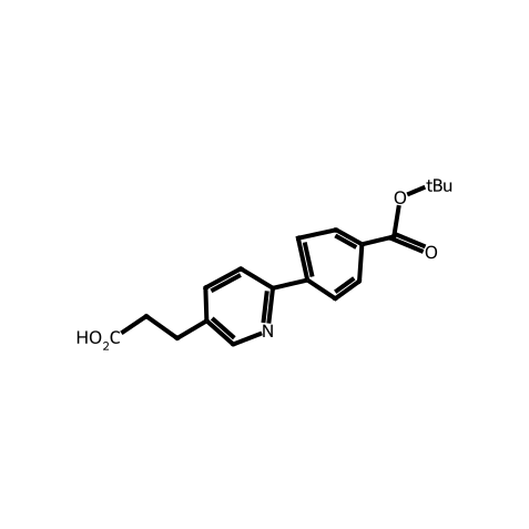 CC(C)(C)OC(=O)c1ccc(-c2ccc(CCC(=O)O)cn2)cc1